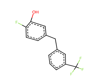 Oc1cc(Cc2cccc(C(F)(F)F)c2)ccc1F